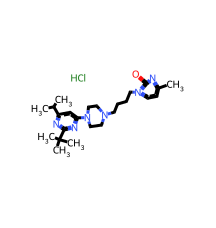 Cc1ccn(CCCCN2CCN(c3cc(C(C)C)nc(C(C)(C)C)n3)CC2)c(=O)n1.Cl